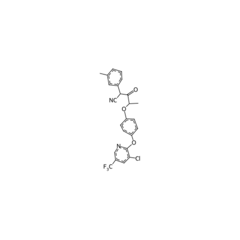 Cc1cccc(C(C#N)C(=O)C(C)Oc2ccc(Oc3ncc(C(F)(F)F)cc3Cl)cc2)c1